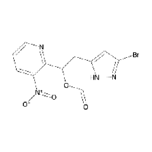 O=COC(Cc1cc(Br)n[nH]1)c1ncccc1[N+](=O)[O-]